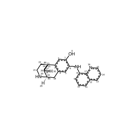 Oc1cc2c(cc1Nc1cccc3cccnc13)C[C@H]1NCC[C@@]23CCCC[C@@H]13